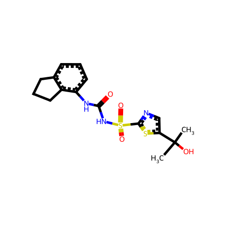 CC(C)(O)c1cnc(S(=O)(=O)NC(=O)Nc2cccc3c2CCC3)s1